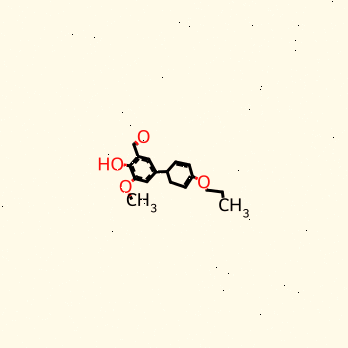 CCCOC1=CCC(c2cc(C=O)c(O)c(OC)c2)C=C1